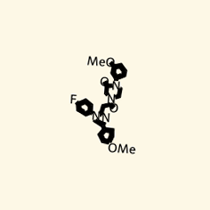 COc1ccc(-c2cn(-c3ccc(F)cc3)c(CC(=O)N3CCN(c4cccc(OC)c4)C(=O)C3)n2)cc1